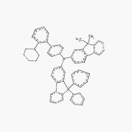 CC1(C)c2ccccc2-c2ccc(N(c3ccc(-c4ccccc4C4CCCCC4)cc3)c3ccc4c(c3)C(c3ccccc3)(c3ccccc3)c3ccccc3-4)cc21